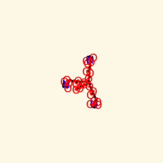 O=COCCOCC(COCCOC(=O)CCCC(=O)ON1C(=O)CCC1=O)(COCCOC(=O)CCCC(=O)ON1C(=O)CCC1=O)COCCOC(=O)CCCC(=O)ON1C(=O)CCC1=O